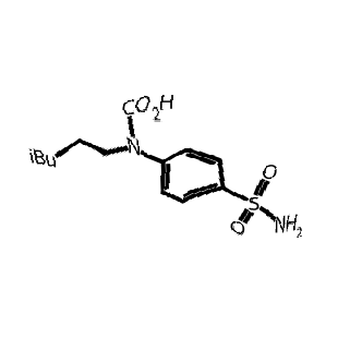 CCC(C)CCN(C(=O)O)c1ccc(S(N)(=O)=O)cc1